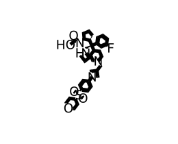 O=C(O)N[C@H]1CCC[C@@H]1[C@](CN1CCC1)(c1cccc(F)c1)C1CCN(CC2CN(c3ccc(S(=O)(=O)C4CCOCC4)cc3)C2)CC1